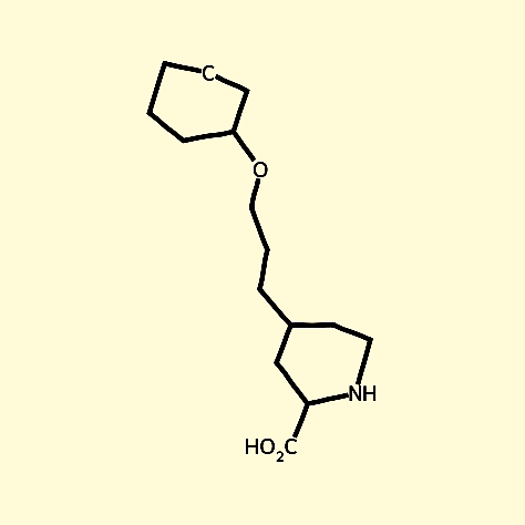 O=C(O)C1CC(CCCOC2CCCCC2)CCN1